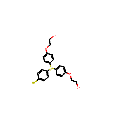 OCCOc1ccc([SH](c2ccc(S)cc2)c2ccc(OCCO)cc2)cc1